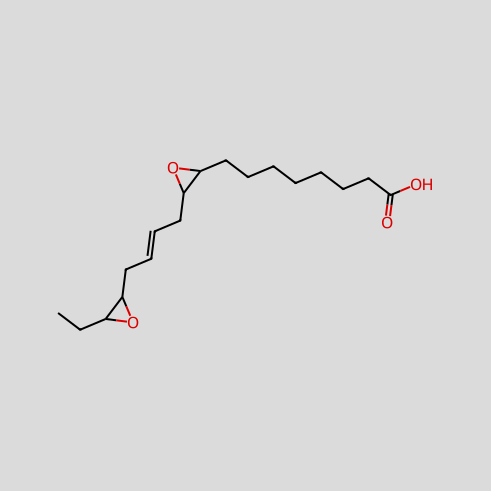 CCC1OC1CC=CCC1OC1CCCCCCCC(=O)O